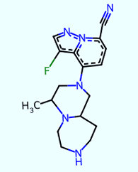 CC1CN(c2ccc(C#N)n3ncc(F)c23)CC2CCNCCN12